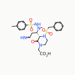 Cc1ccc(S(=O)(=O)NN(C)C(CC=N)[C@H]2C(=O)N(CC(=O)O)CCN2S(=O)(=O)Cc2ccccc2)cc1